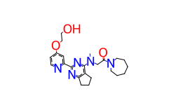 CN(CC(=O)N1CCCCCC1)c1nc(-c2cc(OCCO)ccn2)nc2c1CCC2